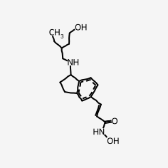 CCC(CCO)CNC1CCc2cc(C=CC(=O)NO)ccc21